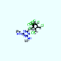 CCNc1nc(NC(C)C)nc(SC)n1.ClCC1C(CCl)C2(Cl)C(Cl)=C(Cl)C1(Cl)C2(Cl)Cl